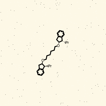 CC(C)[C@H]1c2ccccc2C[C@H]1OCCCCCCO[C@@H]1Cc2ccccc2[C@@H]1C(C)C